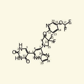 O=c1[nH]cc(-c2cc(N3C[C@H](Oc4ccc(OC(F)F)cn4)C(F)(F)C3)c3nccn3n2)c(=O)[nH]1